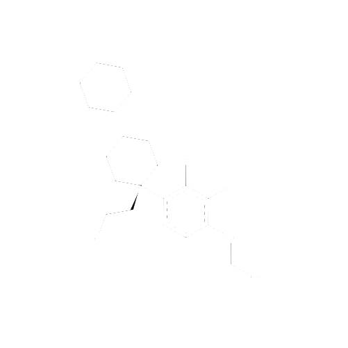 CCC[C@]1(c2ccc(OCC)c(F)c2F)CC[C@@H](C2CCCCC2)CC1